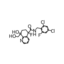 O=C(NCc1c(F)cc(Cl)cc1Cl)[C@]1(F)CC[C@](O)(CO)c2ncccc21